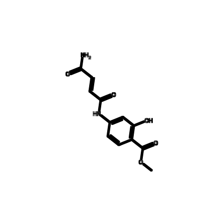 COC(=O)c1ccc(NC(=O)C=CC(N)=O)cc1O